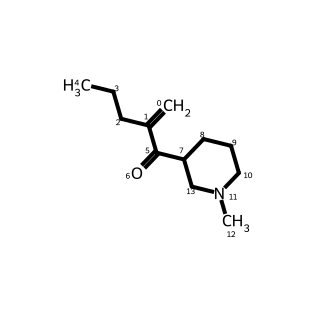 C=C(CCC)C(=O)C1CCCN(C)C1